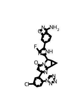 Nc1noc2cc(-c3[nH]c(C4C5CC5c5nc(-c6cc(Cl)ccc6-n6cnnn6)cc(=O)n54)nc3F)ccc12